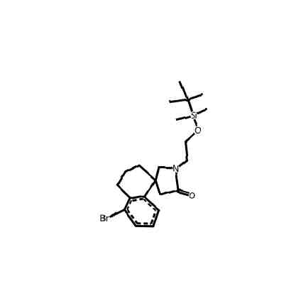 CC(C)(C)[Si](C)(C)OCCN1CC2(CCCc3c(Br)cccc32)CC1=O